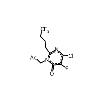 CC(=O)Cn1c(CCCC(F)(F)F)nc(Cl)c(F)c1=O